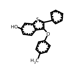 Cc1ccc(Oc2c(-c3ccccc3)sc3cc(O)ccc23)cc1